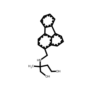 CC(CO)(CCO)NCc1ccc2c3c(cccc13)-c1ccccc1-2